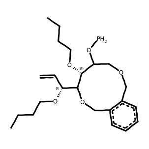 C=C[C@@H](OCCCC)C1OCc2ccccc2COCC(OP)[C@H]1OCCCC